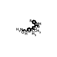 CC1(C)OC(=C2C(=O)Nc3ccc(F)cc32)C=C1c1ccc(NCC(N)=O)nc1